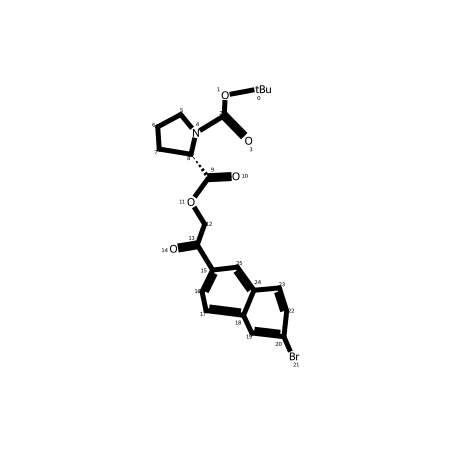 CC(C)(C)OC(=O)N1CCC[C@H]1C(=O)OCC(=O)c1ccc2cc(Br)ccc2c1